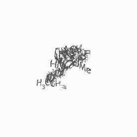 C=CC(=O)Nc1cc(Nc2cc(N3OCC[C@@H]3c3cc(F)ccc3F)ncn2)c(OC)cc1N1CCC(N2CCN(C)[C@H](C)C2)CC1